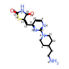 NCCC1CCN(c2nccc(/C=C3/SC(=O)NC3=O)n2)CC1